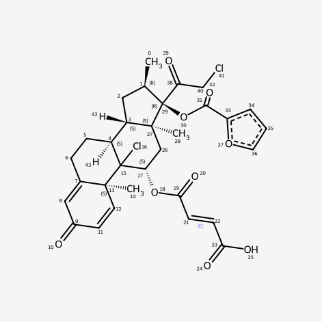 C[C@@H]1C[C@H]2[C@@H]3CCC4=CC(=O)C=C[C@]4(C)C3(Cl)[C@@H](OC(=O)/C=C/C(=O)O)C[C@]2(C)[C@@]1(OC(=O)c1ccco1)C(=O)CCl